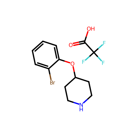 Brc1ccccc1OC1CCNCC1.O=C(O)C(F)(F)F